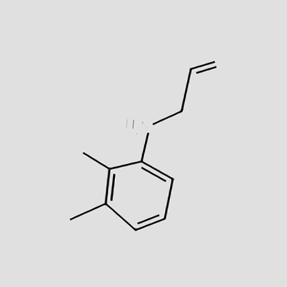 C=CC[SiH2]c1cccc(C)c1C